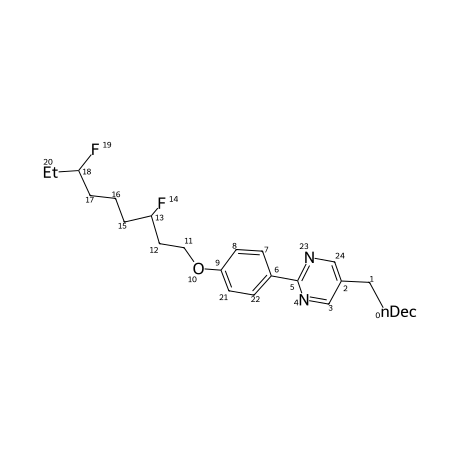 CCCCCCCCCCCc1cnc(-c2ccc(OCCC(F)CCCC(F)CC)cc2)nc1